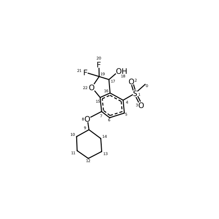 CS(=O)(=O)c1ccc(OC2CCCCC2)c2c1C(O)C(F)(F)O2